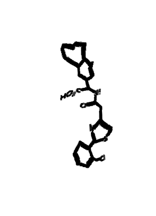 O=C(Cc1csc(-c2ccccc2Cl)n1)NC(C(=O)O)c1ccc2ccccc2c1